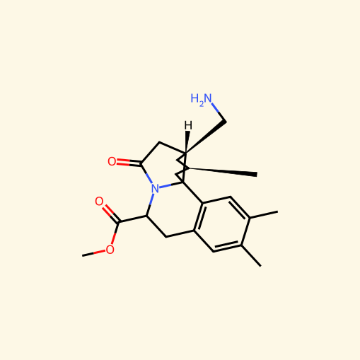 COC(=O)C1Cc2cc(C)c(C)cc2C23C[C@H](C)[C@@H](CN)[C@@H]2CC(=O)N13